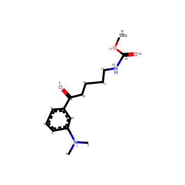 CN(C)c1cccc(C(=O)CCCCNC(=O)OC(C)(C)C)c1